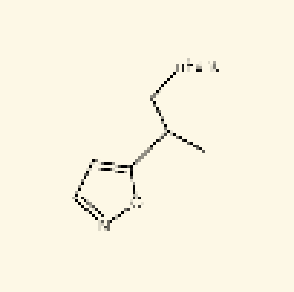 CCCCCCC(C)c1ccno1